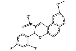 COc1ccc2ccc3c(c2c1)C=C([N+](=O)[O-])C(c1ccc(F)cc1F)O3